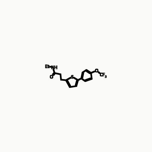 CCNC(=O)CCc1ccc(-c2ccc(OC(F)(F)F)cc2)s1